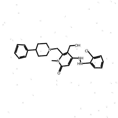 Cn1c(CN2CCC(c3ccccc3)CC2)c(CO)c(NNc2ccccc2Cl)cc1=O